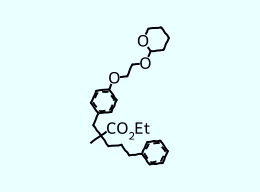 CCOC(=O)C(C)(CCCc1ccccc1)Cc1ccc(OCCOC2CCCCO2)cc1